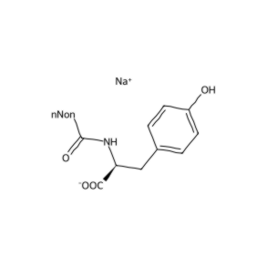 CCCCCCCCCC(=O)N[C@@H](Cc1ccc(O)cc1)C(=O)[O-].[Na+]